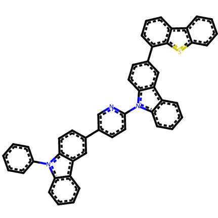 c1ccc(-n2c3ccccc3c3cc(-c4ccc(-n5c6ccccc6c6cc(-c7cccc8c7sc7ccccc78)ccc65)nc4)ccc32)cc1